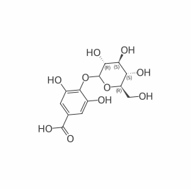 O=C(O)c1cc(O)c(OC2O[C@H](CO)[C@@H](O)[C@H](O)[C@H]2O)c(O)c1